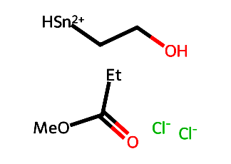 CCC(=O)OC.OC[CH2][SnH+2].[Cl-].[Cl-]